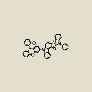 c1ccc(-n2c3ccccc3n3c4ccc5c(c6ccccc6n5-c5cc6c7c(c5)Oc5ccccc5B7c5ccccc5O6)c4nc23)cc1